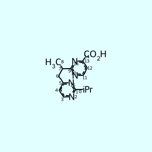 CC(C)c1nccc(CC(C)c2nccc(C(=O)O)n2)n1